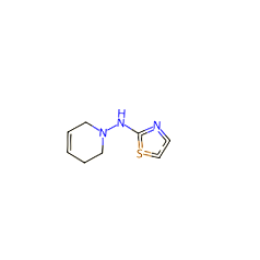 C1=CCN(Nc2nccs2)CC1